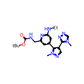 CCNc1cc(-c2c(-c3nncn3C)cnn2C)cc(CNC(=O)OC(C)(C)C)n1